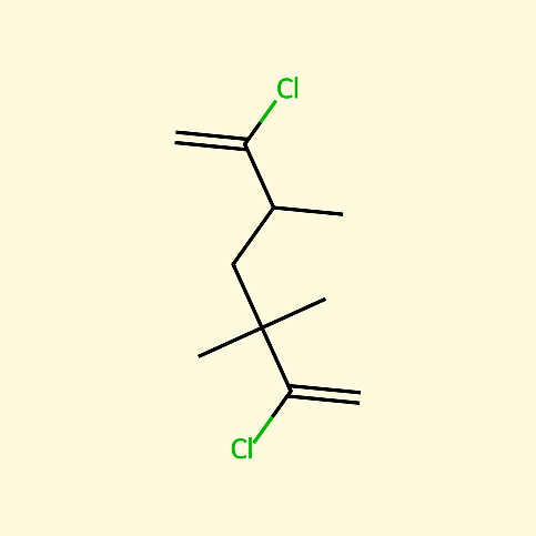 C=C(Cl)C(C)CC(C)(C)C(=C)Cl